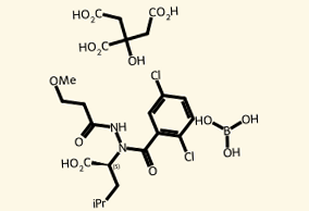 COCCC(=O)NN(C(=O)c1cc(Cl)ccc1Cl)[C@@H](CC(C)C)C(=O)O.O=C(O)CC(O)(CC(=O)O)C(=O)O.OB(O)O